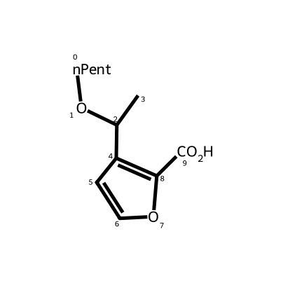 CCCCCOC(C)c1ccoc1C(=O)O